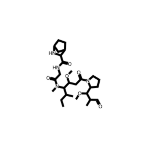 CCC(C)C(C(CC(=O)N1CCCC1C(OC)C(C)C=O)OC)N(C)C(=O)CNC(=O)C1NC2CCC1C2